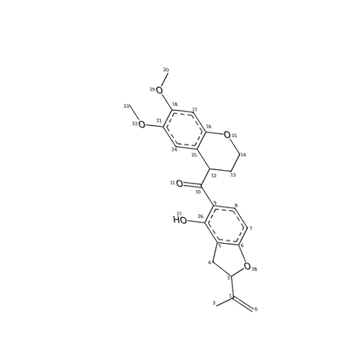 C=C(C)C1Cc2c(ccc(C(=O)C3CCOc4cc(OC)c(OC)cc43)c2O)O1